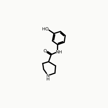 O=C(Nc1cccc(O)c1)C1CCNCC1